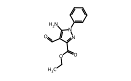 CCOC(=O)c1nn(-c2ccccc2)c(N)c1C=O